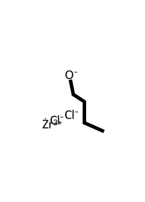 CCCC[O-].[Cl-].[Cl-].[Zr+3]